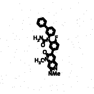 CNc1cc2c(cn1)cc(-c1ccc(F)c(N(C(N)=O)c3cccc(-c4ccccc4)c3)c1)c(=O)n2C